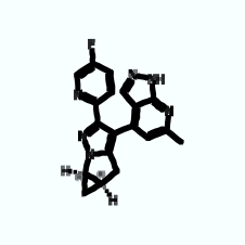 Cc1cc(-c2c(-c3ccc(F)cn3)nn3c2C[C@H]2C[C@H]23)c2cn[nH]c2n1